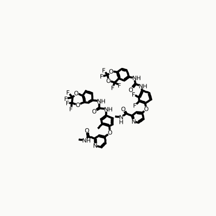 CNC(=O)c1cc(Oc2ccc(NC(=O)Nc3ccc4c(c3)C(F)(F)OC(F)(F)O4)c(F)c2F)ccn1.CNC(=O)c1cc(Oc2ccc(NC(=O)Nc3ccc4c(c3)OC(F)(F)C(F)(F)O4)cc2C)ccn1